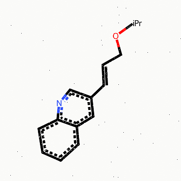 CC(C)OC/C=C/c1cnc2ccccc2c1